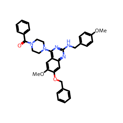 COc1ccc(CNc2nc(N3CCN(C(=O)c4ccccc4)CC3)c3cc(OC)c(OCc4ccccc4)cc3n2)cc1